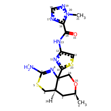 C[C@H]1C[C@H]2CSC(N)=NC2(c2nc(NC(=O)c3ncnn3C)cs2)CO1